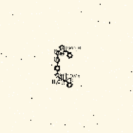 COC(=O)N[C@@H](C(=O)N[C@@H](C)c1ncc(-c2ccc(-c3ccc(-c4cnc([C@@H]5CCCN5C(=O)[C@H](NC(=O)O)c5ccccc5)[nH]4)nn3)cc2)[nH]1)c1ccccc1